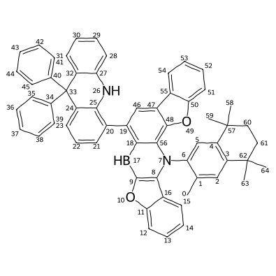 Cc1cc2c(cc1N1c3c(oc4ccccc34)Bc3c(-c4cccc5c4Nc4ccccc4C5(c4ccccc4)c4ccccc4)cc4c(oc5ccccc54)c31)C(C)(C)CCC2(C)C